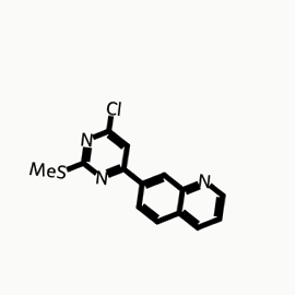 CSc1nc(Cl)cc(-c2ccc3cccnc3c2)n1